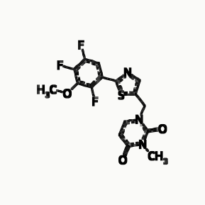 COc1c(F)c(F)cc(-c2ncc(Cn3ccc(=O)n(C)c3=O)s2)c1F